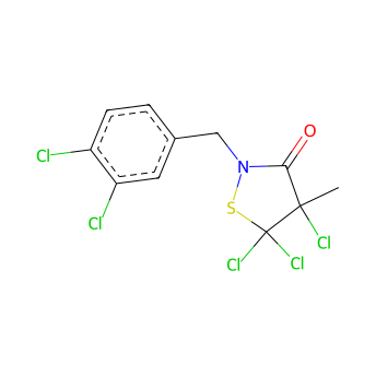 CC1(Cl)C(=O)N(Cc2ccc(Cl)c(Cl)c2)SC1(Cl)Cl